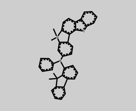 CC1(C)c2ccccc2-c2cccc(N(c3ccccc3)c3ccc4c(c3)[Si](C)(C)c3ccc5c(sc6ccccc65)c3-4)c21